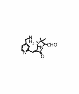 CC1(C)SC2/C(=C\c3cc(CN)ccn3)C(=O)N2C1C=O